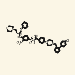 N=C(NS(=O)(=O)c1ccc(N[C@H](CCN2CCOCC2)CSc2ccccc2)c([N+](=O)[O-])c1)c1ccc(N2CCN(Cc3ccccc3-c3ccc(Cl)cc3)CC2)cc1